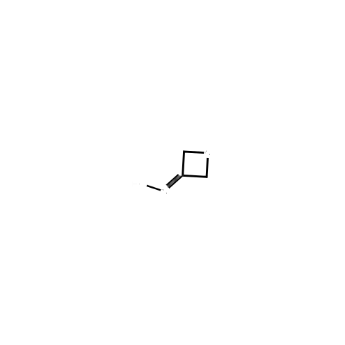 ON=C1C[N]C1